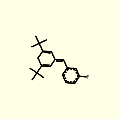 CC(C)(C)C1=CC(=Cc2cccc(F)c2)C=C(C(C)(C)C)C1